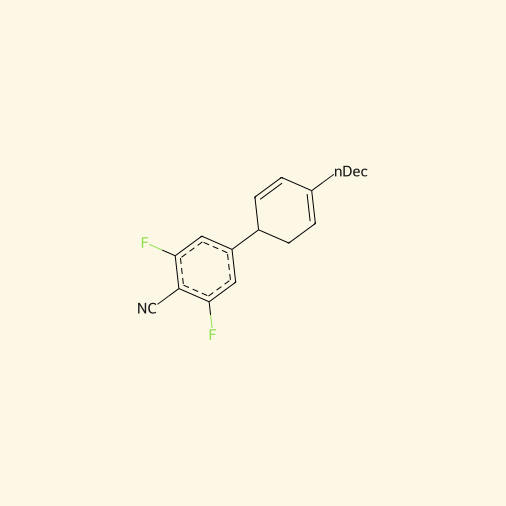 CCCCCCCCCCC1=CCC(c2cc(F)c(C#N)c(F)c2)C=C1